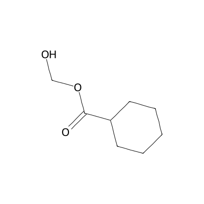 O=C(OCO)C1CCCCC1